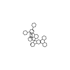 C1=CC2C(CC1)C1CC3=C(CC1C21C2=C(CCCC2)C2C(C4C=C(C5CCCCC5)CC(C5CCCCC5)N4)CCCC21)C1CCCCC1C1CCCCC31